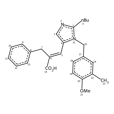 CCCCc1ncc(/C=C(\Cc2ccccc2)C(=O)O)n1Cc1ccc(OC)c(C)c1